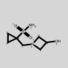 NS(=O)(=O)C1(CN2CC(O)C2)CC1